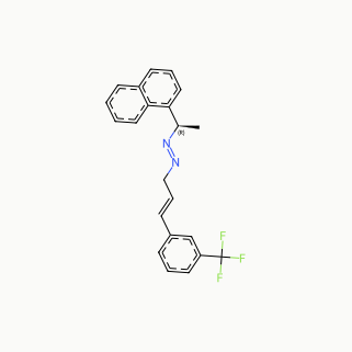 C[C@@H](N=NCC=Cc1cccc(C(F)(F)F)c1)c1cccc2ccccc12